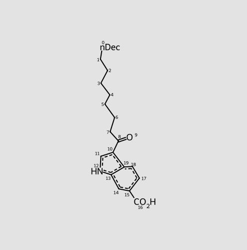 CCCCCCCCCCCCCCCCCC(=O)c1c[nH]c2cc(C(=O)O)ccc12